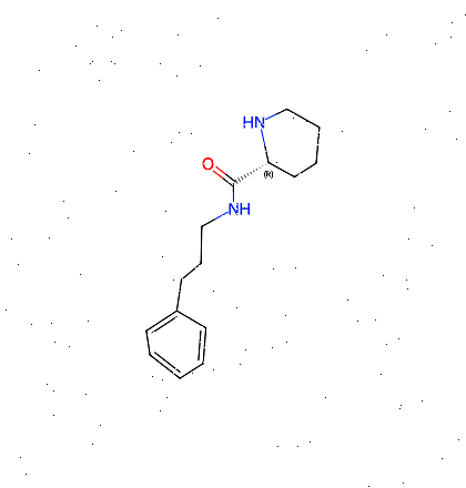 O=C(NCCCc1ccccc1)[C@H]1CCCCN1